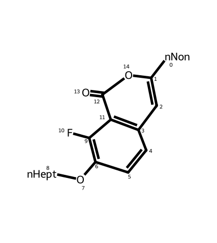 CCCCCCCCCc1cc2ccc(OCCCCCCC)c(F)c2c(=O)o1